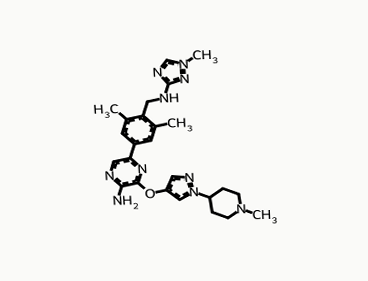 Cc1cc(-c2cnc(N)c(Oc3cnn(C4CCN(C)CC4)c3)n2)cc(C)c1CNc1ncn(C)n1